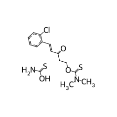 CN(C)C(=S)OCCC(=O)C=Cc1ccccc1Cl.NC(O)=S